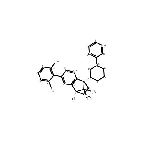 CC1(C)[C@H]2CCC1([C@H]1CCCN(c3cnccn3)C1)c1nnc(-c3c(F)cccc3F)cc12